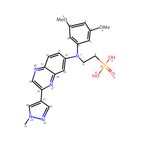 COc1cc(OC)cc(N(CCP(=O)(O)O)c2ccc3ncc(-c4cnn(C)c4)nc3c2)c1